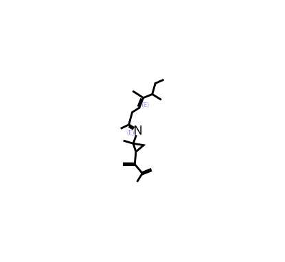 C=C(C)C(=C)C1CC1(C)/N=C(\C)C/C=C(\C)C(C)CC